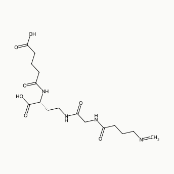 C=NCCCC(=O)NCC(=O)NCC[C@@H](NC(=O)CCCC(=O)O)C(=O)O